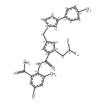 Cc1cc(Cl)cc(C(N)=O)c1NC(=O)c1cc(Cn2nnc(-c3ccc(C(F)(F)F)cc3)n2)nn1CC(F)F